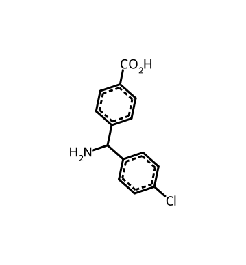 NC(c1ccc(Cl)cc1)c1ccc(C(=O)O)cc1